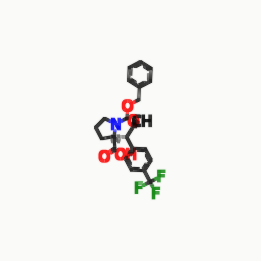 C#CC(c1ccc(C(F)(F)F)cc1)[C@]1(C(=O)O)CCCN1C(=O)OCc1ccccc1